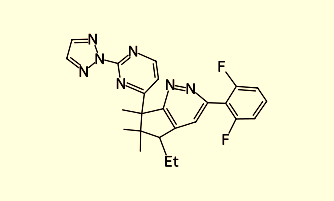 CCC1c2cc(-c3c(F)cccc3F)nnc2C(C)(c2ccnc(-n3nccn3)n2)C1(C)C